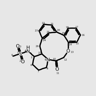 CS(=O)(=O)NC1CCCN2C(=O)COc3ccccc3-c3cccc(c3)CC12